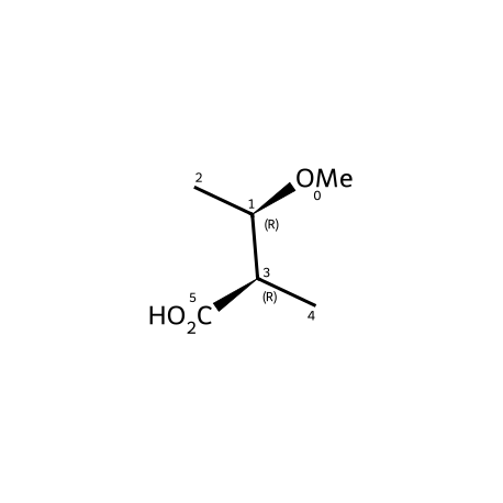 CO[C@H](C)[C@@H](C)C(=O)O